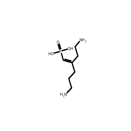 NCCCC(=CP(=O)(O)O)CCN